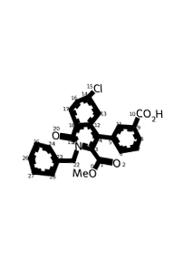 COC(=O)c1c(-c2cccc(C(=O)O)c2)c2cc(Cl)ccc2c(=O)n1Cc1ccccc1